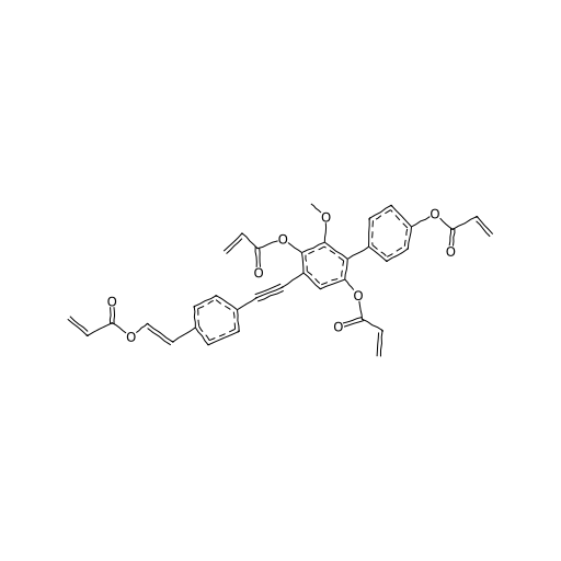 C=CC(=O)O/C=C/c1ccc(C#Cc2cc(OC(=O)C=C)c(-c3ccc(OC(=O)C=C)cc3)c(OC)c2OC(=O)C=C)cc1